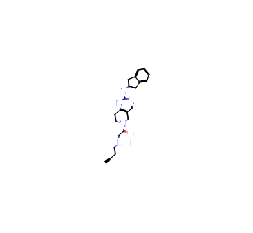 C#CCCNCC(=O)N1CCc2nc(NC3Cc4ccccc4C3)ncc2C1